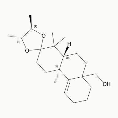 C[C@H]1OC2(CC[C@]3(C)C4=CCCCC4(CO)CC[C@H]3C2(C)C)O[C@@H]1C